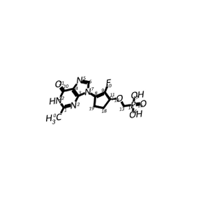 Cc1nc2c(ncn2C2=C(F)[C@@H](OCP(=O)(O)O)CC2)c(=O)[nH]1